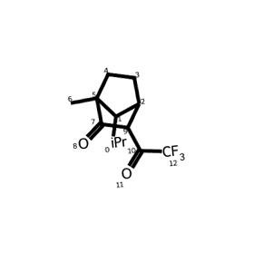 CC(C)C1C2CCC1(C)C(=O)C2C(=O)C(F)(F)F